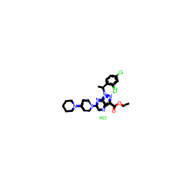 CCOC(=O)c1nn(C(C)c2ccc(Cl)cc2Cl)c2nc(N3CCC(N4CCCCC4)CC3)cnc12.Cl